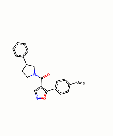 COc1ccc(-c2oncc2C(=O)N2CCC(c3ccccc3)C2)cc1